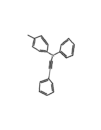 Cc1ccc(N(C#Cc2ccccc2)c2ccccc2)cc1